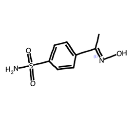 C/C(=N\O)c1ccc(S(N)(=O)=O)cc1